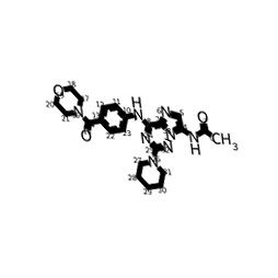 CC(=O)Nc1cnc2c(Nc3ccc(C(=O)N4CCOCC4)cc3)nc(N3CCCCC3)nn12